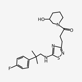 CC(C)(CNc1nc(CCC(=O)N2CCCC(O)C2)ns1)c1ccc(F)cc1